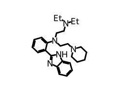 CCN(CC)CCN(CCN1CCCCC1)c1ccccc1-c1nc2ccccc2[nH]1